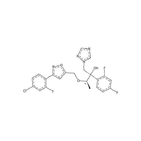 C[C@@H](OCc1cc(-c2ccc(Cl)cc2F)no1)C(O)(Cn1cncn1)c1ccc(F)cc1F